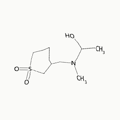 CC(O)N(C)C1CCS(=O)(=O)C1